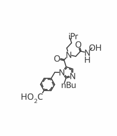 CCCCc1ncc(C(=O)N(CCC(C)C)CC(=O)NO)n1Cc1ccc(C(=O)O)cc1